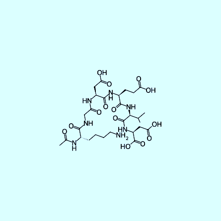 CC(=O)N[C@@H](CCCCN)C(=O)NCC(=O)N[C@@H](CC(=O)O)C(=O)N[C@@H](CCC(=O)O)C(=O)N[C@H](C(=O)N[C@@H](CC(=O)O)C(=O)O)C(C)C